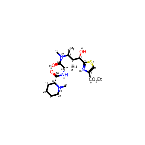 CCOC(=O)c1csc([C@H](O)CC(C(C)C)N(C)C(=O)[C@@H](NC(=O)[C@H]2CCCCN2C)[C@@H](C)CC)n1